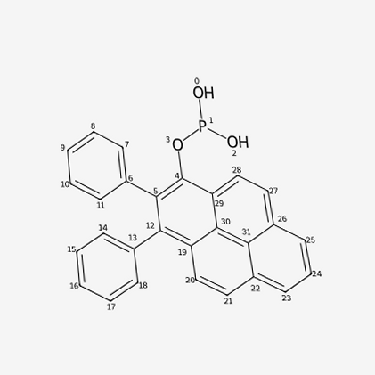 OP(O)Oc1c(-c2ccccc2)c(-c2ccccc2)c2ccc3cccc4ccc1c2c43